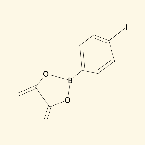 C=C1OB(c2ccc(I)cc2)OC1=C